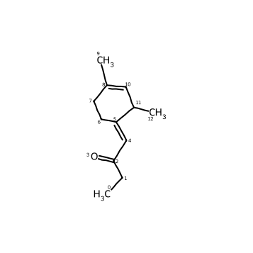 CCC(=O)C=C1CCC(C)=CC1C